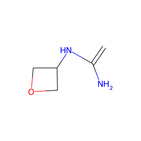 C=C(N)NC1COC1